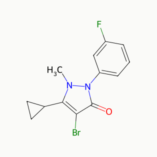 Cn1c(C2CC2)c(Br)c(=O)n1-c1cccc(F)c1